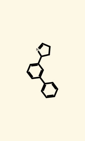 C1=NC(c2cccc(-c3ccccc3)c2)CC1